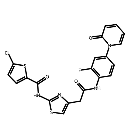 O=C(Cc1csc(NC(=O)c2ccc(Cl)s2)n1)Nc1ccc(-n2ccccc2=O)cc1F